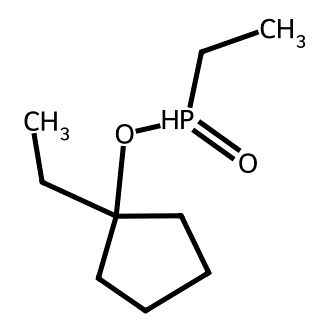 CC[PH](=O)OC1(CC)CCCC1